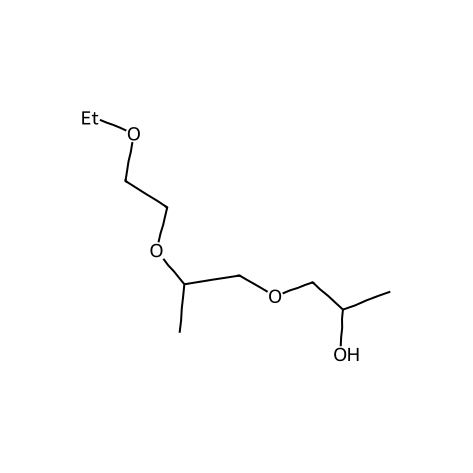 [CH2]COCCOC(C)COCC(C)O